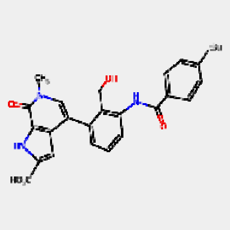 Cn1cc(-c2cccc(NC(=O)c3ccc(C(C)(C)C)cc3)c2CO)c2cc(C(=O)O)[nH]c2c1=O